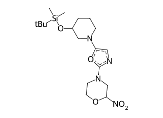 CC(C)(C)[Si](C)(C)OC1CCCN(c2cnc(N3CCOC([N+](=O)[O-])C3)o2)C1